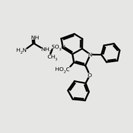 CS(=O)(=O)O.N=C(N)N.O=C(O)c1c(Oc2ccccc2)n(-c2ccccc2)c2ccccc12